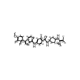 COc1ccc(-c2cnc3c(Nc4ccc(C(=O)NC5CCC(NC(=C(C)C)N(C)C)CC5)c(C)c4)nccn23)c(F)c1F